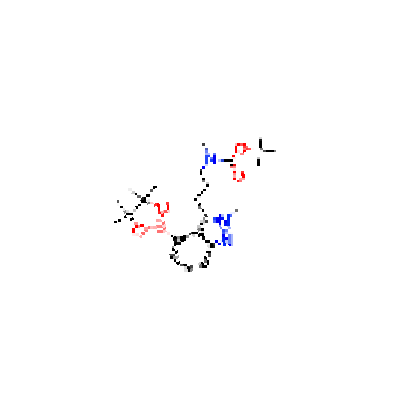 CN(CCCc1c2c(B3OC(C)(C)C(C)(C)O3)cccc2nn1C)C(=O)OC(C)(C)C